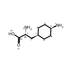 N[C@H](C[C@H]1CC[C@@H](N)CC1)C(=O)O